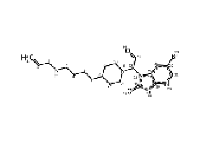 C=CCNCCCCC1CCN(C(C=O)n2c(=O)sc3ncc(Br)cc32)CC1